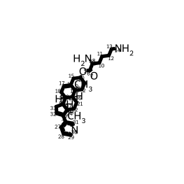 C[C@]12CC[C@H](OC(=O)[C@@H](N)CCCCN)CC1=CC[C@@H]1[C@@H]2CC[C@]2(C)C(c3cccnc3)=CC[C@@H]12